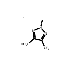 Cn1nc(C(=O)O)c(C(F)(F)F)n1